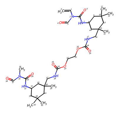 C=CN(C=O)C(=O)NC1CC(C)(C)CC(C)(CNC(=O)OCCOC(=O)NCC2(C)CC(NC(=O)N(C)C=O)CC(C)(C)C2)C1